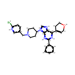 Brc1ccc(CN2CCC(n3cnc4c(C5=CCOCC5)nc(-c5c[c]ccc5)nc43)CC2)cn1